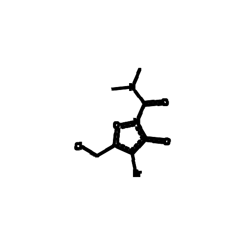 CN(C)C(=O)n1oc(CCl)c(Br)c1=O